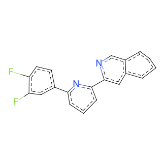 Fc1ccc(-c2cccc(-c3cc4ccccc4cn3)n2)cc1F